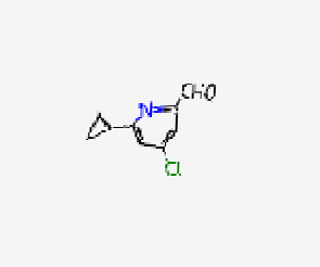 O=Cc1cc(Cl)cc(C2CC2)n1